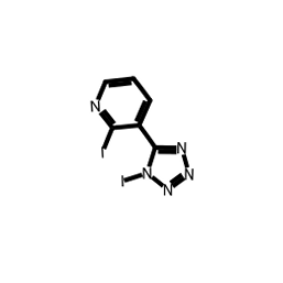 Ic1ncccc1-c1nnnn1I